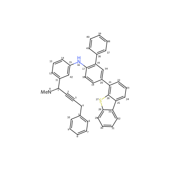 CNC(C#CCc1ccccc1)c1cccc(Nc2ccc(-c3cccc4c3sc3ccccc34)cc2-c2ccccc2)c1